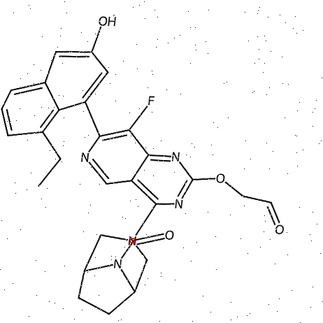 CCc1cccc2cc(O)cc(-c3ncc4c(N5CC6CCC(C5)N6C=O)nc(OCC=O)nc4c3F)c12